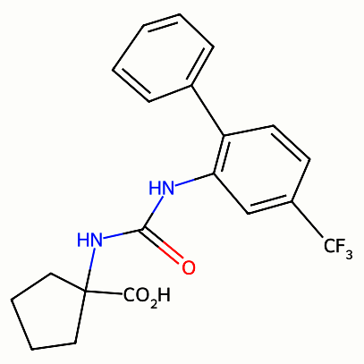 O=C(Nc1cc(C(F)(F)F)ccc1-c1ccccc1)NC1(C(=O)O)CCCC1